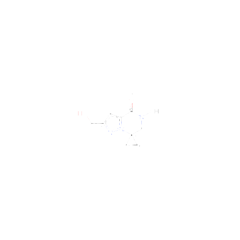 CN1CC2(CC2)n2nc(CO)cc2C1=O